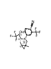 CC12C[C@H]1C[C@H]([C@H](O)C(F)(F)F)N(c1ccc(C#N)c(C(F)(F)F)c1)C2